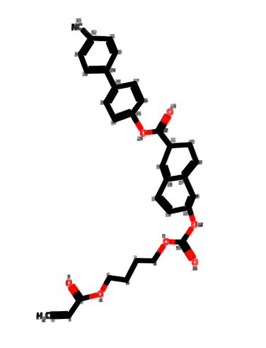 C=CC(=O)OCCCCOC(=O)Oc1ccc2c(c1)=CCC(C(=O)Oc1ccc(-c3ccc(C#N)cc3)cc1)C=2